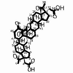 CC(=O)[C@@]1(CC(=O)O)CC[C@H]2[C@@H]3C[C@]4(CCC5=C6[C@@H]4C(=O)CC[C@@H]6[C@H]4CC[C@@]6(C)[C@@H](CC[C@]6(CC(=O)O)C(C)=O)[C@@H]4C5)C4=CC(=O)CC[C@@H]4[C@H]3CC[C@@]21C